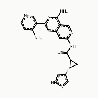 Cc1ccncc1-c1cc2cc(NC(=O)C3C[C@@H]3c3cn[nH]c3)ncc2c(N)n1